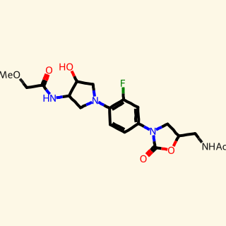 COCC(=O)NC1CN(c2ccc(N3CC(CNC(C)=O)OC3=O)cc2F)CC1O